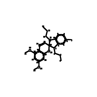 CCCC1c2cc(C)ccc2N(CCC)C12C=Nc1c(OC)cc(OC)cc1O2